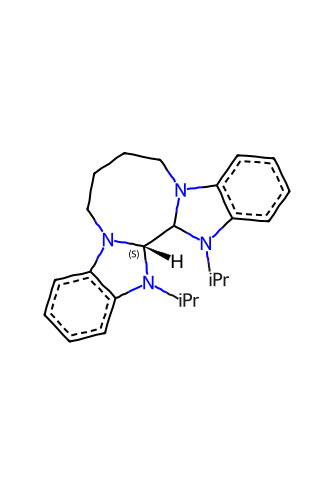 CC(C)N1c2ccccc2N2CCCCN3c4ccccc4N(C(C)C)[C@H]3C21